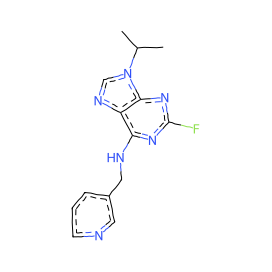 CC(C)n1cnc2c(NCc3cccnc3)nc(F)nc21